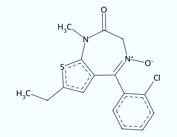 CCc1cc2c(s1)N(C)C(=O)C[N+]([O-])=C2c1ccccc1Cl